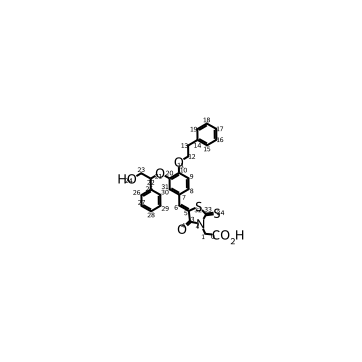 O=C(O)CN1C(=O)C(=Cc2ccc(OCCc3ccccc3)c(OC(CO)c3ccccc3)c2)SC1=S